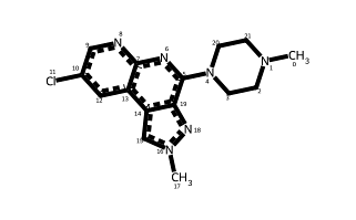 CN1CCN(c2nc3ncc(Cl)cc3c3cn(C)nc23)CC1